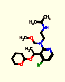 C=C(C)NCCN(COC)c1nccc(Br)c1[C@H](C)OC1CCCCO1